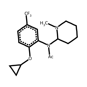 CC(=O)N(c1cc(C(F)(F)F)ccc1OC1CC1)C1CCCCN1C